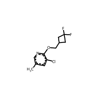 Cc1cnc(OCC2CC(F)(F)C2)c(Cl)c1